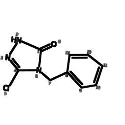 O=c1[nH]nc(Cl)n1Cc1ccccc1